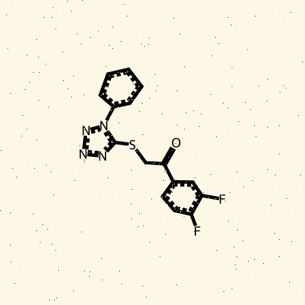 O=C(CSc1nnnn1-c1ccccc1)c1ccc(F)c(F)c1